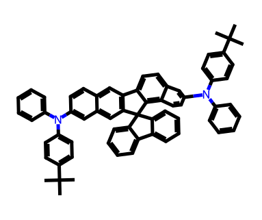 CC(C)(C)c1ccc(N(c2ccccc2)c2ccc3cc4c(cc3c2)C2(c3ccccc3-c3ccccc32)c2c-4ccc3cc(N(c4ccccc4)c4ccc(C(C)(C)C)cc4)ccc23)cc1